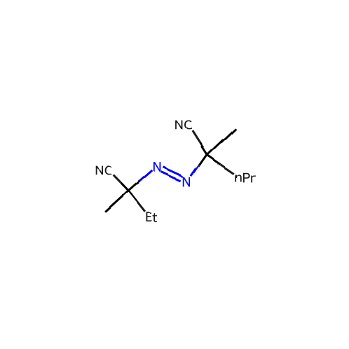 CCCC(C)(C#N)/N=N/C(C)(C#N)CC